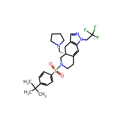 CC(C)(C)c1ccc(S(=O)(=O)N2CCC3=Cc4c(cnn4CC(F)(F)F)C[C@]3(CN3CCCC3)C2)cc1